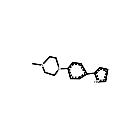 CN1CCN(c2ccc(-c3ccc[nH]3)cc2)CC1